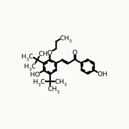 CCCOc1c(/C=C/C(=O)c2ccc(O)cc2)cc(C(C)(C)C)c(O)c1C(C)(C)C